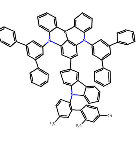 N#Cc1ccc(-c2cc(C(F)(F)F)ccc2-n2c3ccccc3c3cc(-c4cc5c6c(c4)N(c4cc(-c7ccccc7)cc(-c7ccccc7)c4)c4ccccc4B6c4ccccc4N5c4cc(-c5ccccc5)cc(-c5ccccc5)c4)ccc32)c(C(F)(F)F)c1